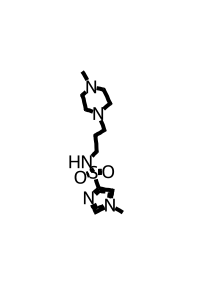 CN1CCN(CCCNS(=O)(=O)c2cn(C)cn2)CC1